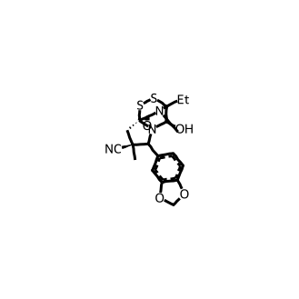 CCC12SS[C@@]3(C[C@](C)(C#N)C(c4ccc5c(c4)OCO5)N3C1O)C(=O)N2C